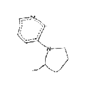 CC1CCCN1c1[c]nccc1